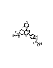 CCNC(=O)Nc1ccc(-c2nc3c(c(N4CCOCC4C)n2)CCN(S(=O)(=O)C(C)C)C3)cc1